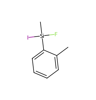 Cc1ccccc1[Si](C)(F)I